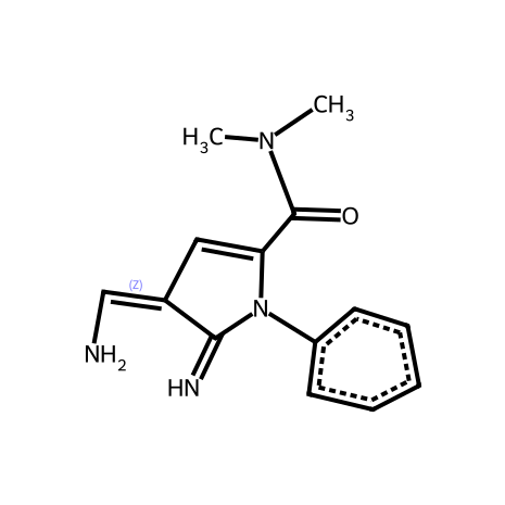 CN(C)C(=O)C1=C/C(=C/N)C(=N)N1c1ccccc1